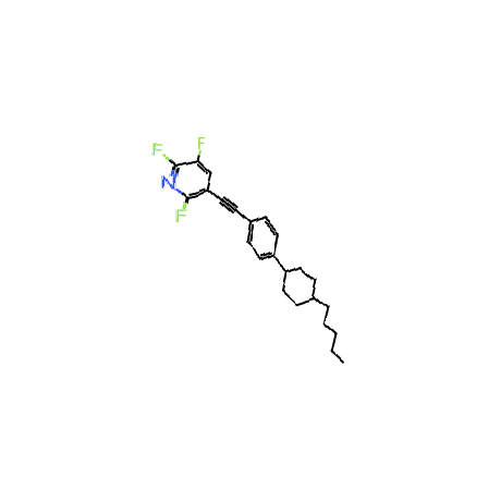 CCCCCC1CCC(c2ccc(C#Cc3cc(F)c(F)nc3F)cc2)CC1